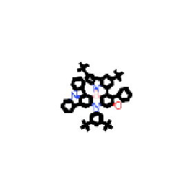 CC(C)(C)c1cc(N2c3cc4oc5ccccc5c4c4c3B(c3c2cc2c5ccccc5n5c6ccccc6c3c25)n2c3ccc(C(C)(C)C)cc3c3cc(C(C)(C)C)cc-4c32)cc(C(C)(C)C)c1